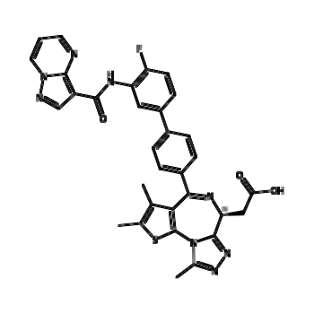 Cc1sc2c(c1C)C(c1ccc(-c3ccc(F)c(NC(=O)c4cnn5cccnc45)c3)cc1)=N[C@@H](CC(=O)O)c1nnc(C)n1-2